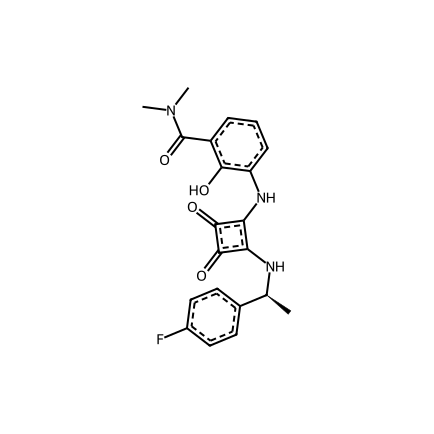 C[C@H](Nc1c(Nc2cccc(C(=O)N(C)C)c2O)c(=O)c1=O)c1ccc(F)cc1